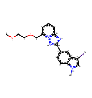 COCCOCc1cccc2nc(-c3ccc4c(c3)c(I)cn4C)nn12